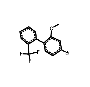 COc1cc(Br)ccc1-c1ccccc1C(F)(F)F